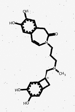 CN(CCCN1C=Cc2cc(O)c(O)cc2CC1=O)C[C@H]1Cc2cc(O)c(O)cc21